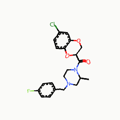 CC1CN(Cc2ccc(F)cc2)CCN1C(=O)C1COc2cc(Cl)ccc2O1